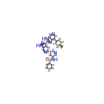 O=C(Nc1cncc(-c2cc3c(-c4nc5c(-c6ccc(F)cc6)cncc5[nH]4)n[nH]c3cn2)c1)c1ccccc1